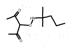 CCCC(C)(C)NOC(C(C)=O)C(C)=O